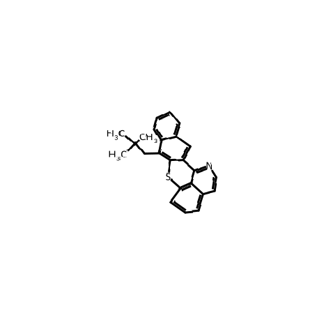 CC(C)(C)Cc1c2c(cc3ccccc13)-c1nccc3cccc(c13)S2